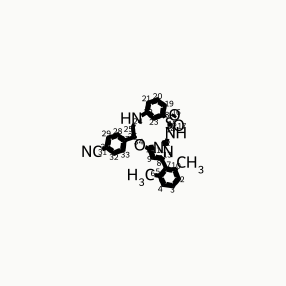 Cc1cccc(C)c1-c1cc2nc(n1)NS(=O)(=O)c1cccc(c1)NCC(c1ccc(C#N)cc1)O2